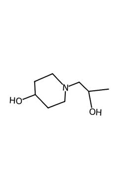 CC(O)CN1CCC(O)CC1